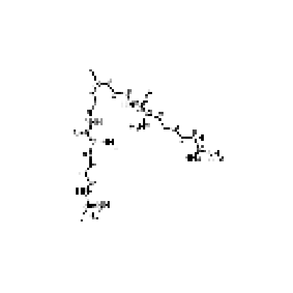 CN(CCCNC(=O)[C@H](N)CCCCNC(=N)N)CCCNC(=O)[C@H](N)CCCCNC(=N)N